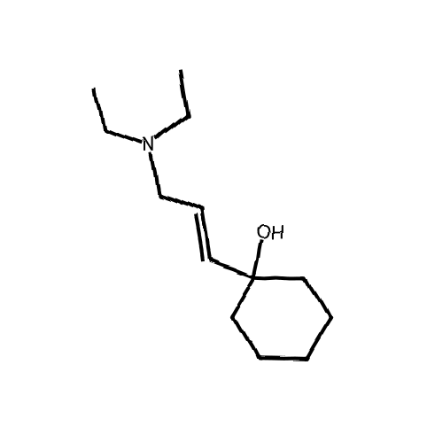 CCN(CC)CC=CC1(O)CCCCC1